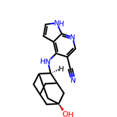 N#Cc1cnc2[nH]ccc2c1N[C@H]1C2CC3CC1C[C@@](O)(C3)C2